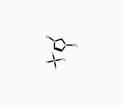 CCN1C=CN(C)C1.CS(F)(F)F